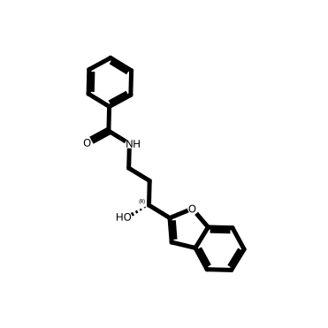 O=C(NCC[C@@H](O)c1cc2ccccc2o1)c1ccccc1